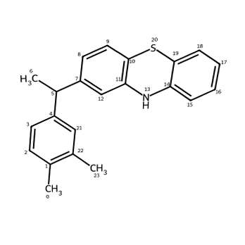 Cc1ccc(C(C)c2ccc3c(c2)Nc2ccccc2S3)cc1C